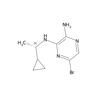 C[C@H](Nc1nc(Br)cnc1N)C1CC1